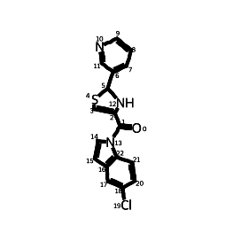 O=C(C1=CSC(c2cccnc2)N1)n1ccc2cc(Cl)ccc21